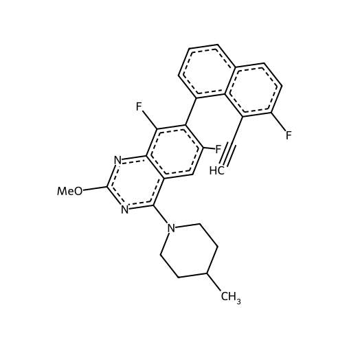 C#Cc1c(F)ccc2cccc(-c3c(F)cc4c(N5CCC(C)CC5)nc(OC)nc4c3F)c12